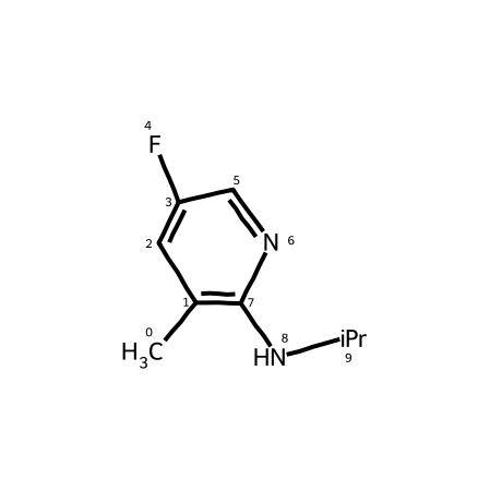 Cc1cc(F)cnc1NC(C)C